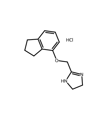 Cl.c1cc2c(c(OCC3=NCCN3)c1)CCC2